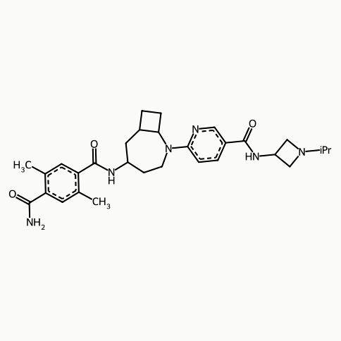 Cc1cc(C(=O)NC2CCN(c3ccc(C(=O)NC4CN(C(C)C)C4)cn3)C3CCC3C2)c(C)cc1C(N)=O